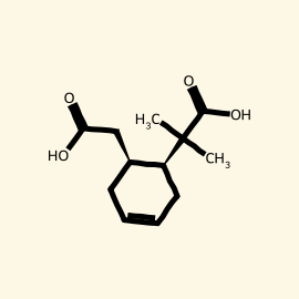 CC(C)(C(=O)O)[C@H]1CC=CC[C@H]1CC(=O)O